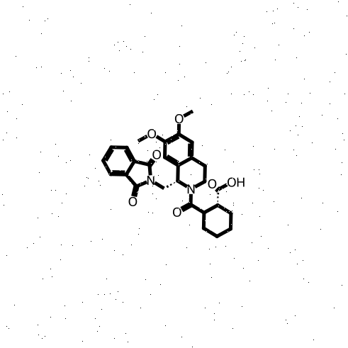 COc1cc2c(cc1OC)[C@@H](CN1C(=O)c3ccccc3C1=O)N(C(=O)C1CCCC[C@H]1C(=O)O)CC2